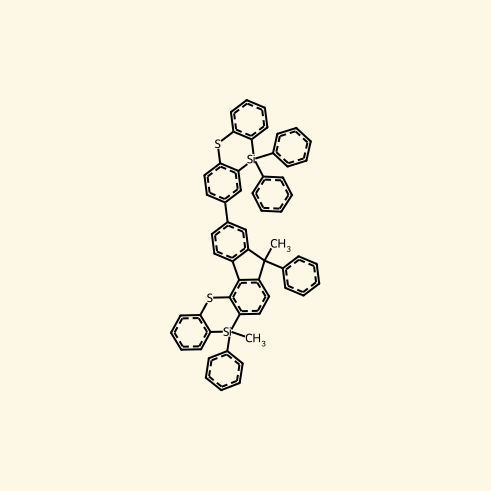 CC1(c2ccccc2)c2cc(-c3ccc4c(c3)[Si](c3ccccc3)(c3ccccc3)c3ccccc3S4)ccc2-c2c1ccc1c2Sc2ccccc2[Si]1(C)c1ccccc1